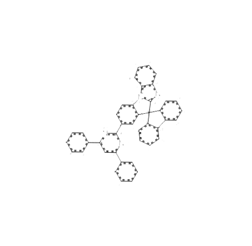 c1ccc(-c2cc(-c3ccccc3)nc(-c3ccc4c(c3)C3(c5ccccc5-c5ccccc53)c3nc5ccccc5n3-4)n2)cc1